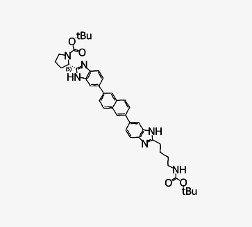 CC(C)(C)OC(=O)NCCCCc1nc2ccc(-c3ccc4cc(-c5ccc6nc([C@@H]7CCCN7C(=O)OC(C)(C)C)[nH]c6c5)ccc4c3)cc2[nH]1